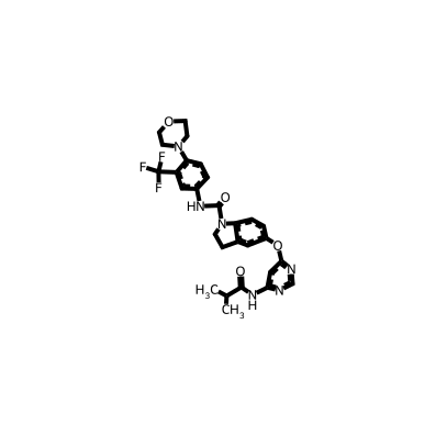 CC(C)C(=O)Nc1cc(Oc2ccc3c(c2)CCN3C(=O)Nc2ccc(N3CCOCC3)c(C(F)(F)F)c2)ncn1